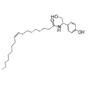 CCCCCCCC/C=C\CCCCCCCC(=O)NC(CO)c1ccc(O)cc1